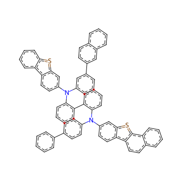 c1ccc(-c2ccc(N(c3ccc4c(c3)sc3c5ccccc5ccc43)c3ccccc3-c3ccccc3N(c3cccc(-c4ccc5ccccc5c4)c3)c3ccc4c(c3)sc3ccccc34)cc2)cc1